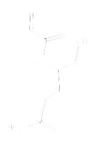 C=CC(=O)OC(CO)CCC(=C)C(=O)O